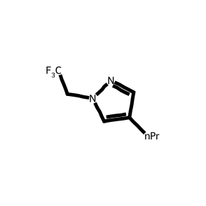 CCCc1cnn(CC(F)(F)F)c1